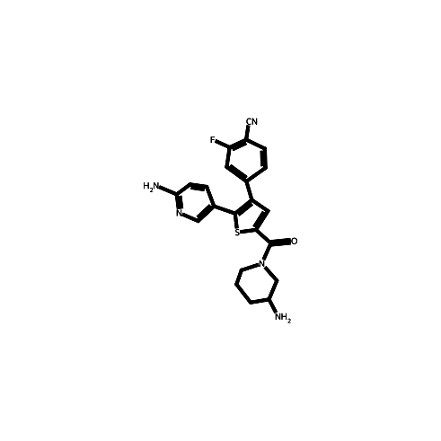 N#Cc1ccc(-c2cc(C(=O)N3CCCC(N)C3)sc2-c2ccc(N)nc2)cc1F